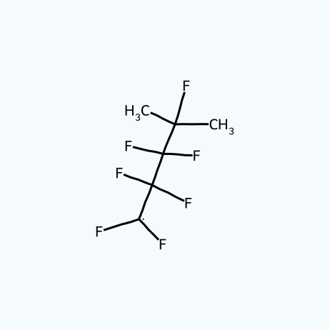 CC(C)(F)C(F)(F)C(F)(F)[C](F)F